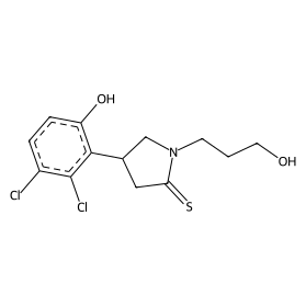 OCCCN1CC(c2c(O)ccc(Cl)c2Cl)CC1=S